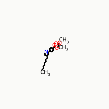 CCCCCCCCCc1ccnc(-c2ccc(C(=O)OC(C)C(=O)OCC)cc2)c1